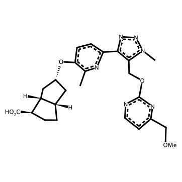 COCc1ccnc(OCc2c(-c3ccc(O[C@@H]4C[C@@H]5CC[C@@H](C(=O)O)[C@@H]5C4)c(C)n3)nnn2C)n1